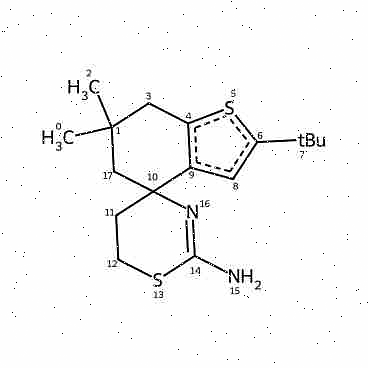 CC1(C)Cc2sc(C(C)(C)C)cc2C2(CCSC(N)=N2)C1